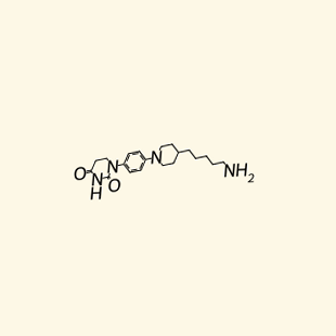 NCCCCCC1CCN(c2ccc(N3CCC(=O)NC3=O)cc2)CC1